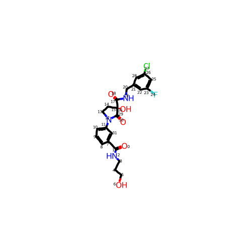 O=C(NCCCO)c1cccc(N2CC[C@@](O)(C(=O)NCc3cc(F)cc(Cl)c3)C2=O)c1